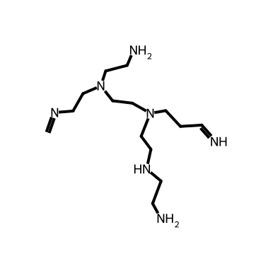 C=NCCN(CCN)CCN(CCC=N)CCNCCN